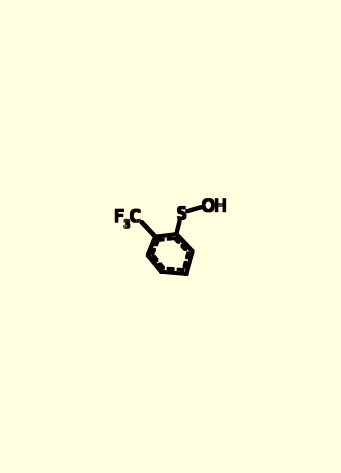 OSc1ccccc1C(F)(F)F